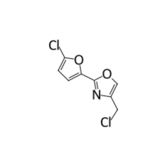 ClCc1coc(-c2ccc(Cl)o2)n1